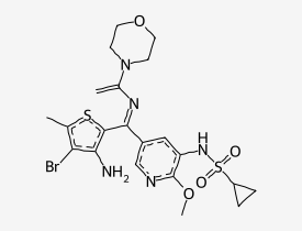 C=C(/N=C(/c1cnc(OC)c(NS(=O)(=O)C2CC2)c1)c1sc(C)c(Br)c1N)N1CCOCC1